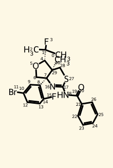 CC(C)(F)[C@H]1OC[C@]2(c3cc(Br)ccc3F)N=C(NC(=O)c3ccccc3)SC[C@]12C